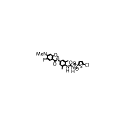 CNc1cc2c(cc1F)C(=O)N(c1cc(C)c(NC(=O)NS(=O)(=O)c3ccc(Cl)s3)c(C)c1)CO2